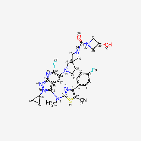 CN(c1nc(-c2ccc(F)cc2)c(C#N)s1)c1c2cc(N3CCC4(CN(C(=O)N5CC(O)C5)C4)C3)c(F)nc2nn1C1CC1